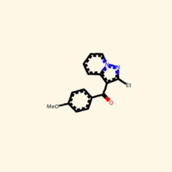 CCc1nn2ccccc2c1C(=O)c1ccc(OC)cc1